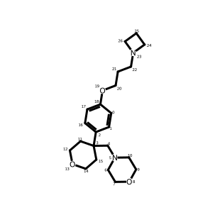 c1cc(C2(CN3CCOCC3)CCOCC2)ccc1OCCCN1CCC1